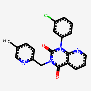 Cc1ccc(Cn2c(=O)c3cccnc3n(-c3cccc(Cl)c3)c2=O)nc1